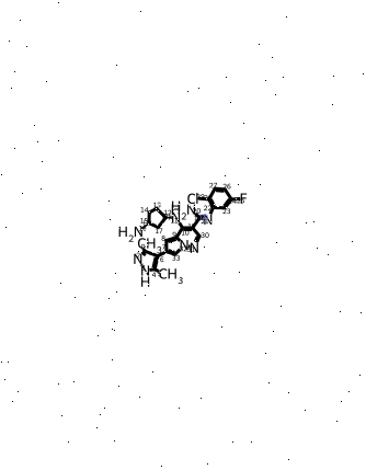 Cc1n[nH]c(C)c1-c1cc2c(N[C@@H]3CC[C@H](N)C3)c(/C(N)=N/c3cc(F)ccc3Cl)cnn2c1